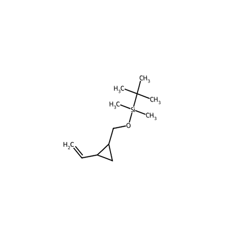 C=CC1CC1CO[Si](C)(C)C(C)(C)C